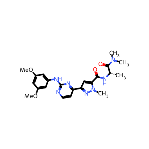 COc1cc(Nc2nccc(-c3cc(C(=O)N[C@@H](C)C(=O)N(C)C)n(C)n3)n2)cc(OC)c1